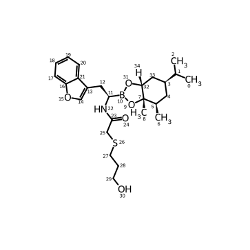 CC(C)[C@H]1C[C@@H](C)[C@]2(C)OB([C@H](Cc3coc4ccccc34)NC(=O)CSCCCO)O[C@@H]2C1